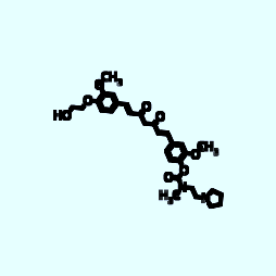 COc1cc(C=CC(=O)CC(=O)C=Cc2ccc(OC(=O)N(C)CCN3CCCC3)c(OC)c2)ccc1OCCO